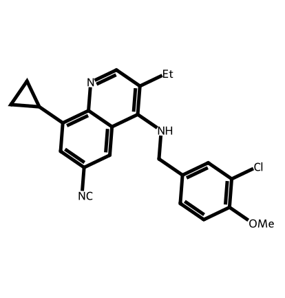 [C-]#[N+]c1cc(C2CC2)c2ncc(CC)c(NCc3ccc(OC)c(Cl)c3)c2c1